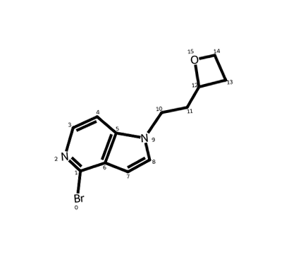 Brc1nccc2c1ccn2CCC1CCO1